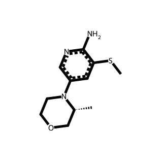 CSc1cc(N2CCOC[C@H]2C)cnc1N